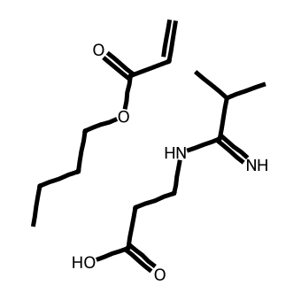 C=CC(=O)OCCCC.CC(C)C(=N)NCCC(=O)O